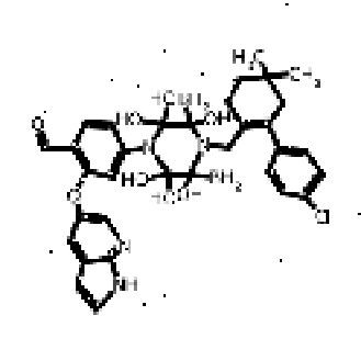 BC1(O)N(CC2=C(c3ccc(Cl)cc3)CC(C)(C)CC2)C(B)(O)C(O)(O)N(c2ccc(C=O)c(Oc3cnc4[nH]ccc4c3)c2)C1(O)O